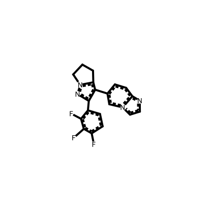 Fc1ccc(-c2nn3c(c2-c2ccc4nccn4c2)CCC3)c(F)c1F